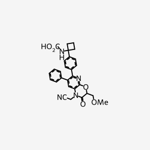 COCC1Oc2nc(-c3ccc(C4(NC(=O)O)CCC4)cc3)c(-c3ccccc3)cc2N(CC#N)C1=O